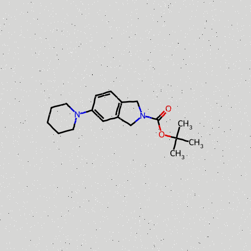 CC(C)(C)OC(=O)N1Cc2ccc(N3CCCCC3)cc2C1